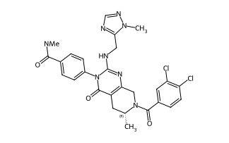 CNC(=O)c1ccc(-n2c(NCc3ncnn3C)nc3c(c2=O)C[C@@H](C)N(C(=O)c2ccc(Cl)c(Cl)c2)C3)cc1